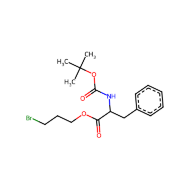 CC(C)(C)OC(=O)NC(Cc1ccccc1)C(=O)OCCCBr